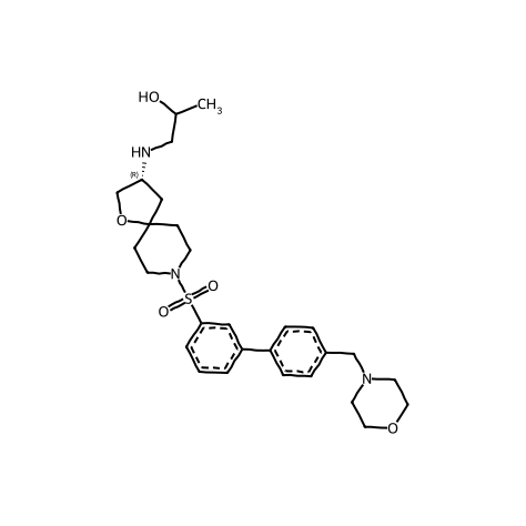 CC(O)CN[C@H]1COC2(CCN(S(=O)(=O)c3cccc(-c4ccc(CN5CCOCC5)cc4)c3)CC2)C1